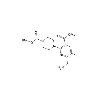 COC(=O)c1cc(Cl)c(CN)nc1N1CCN(C(=O)OC(C)(C)C)CC1